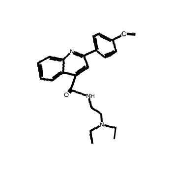 CCN(CC)CCNC(=O)c1cc(-c2ccc(OC)cc2)nc2ccccc12